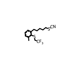 Cc1cc[c]c(CCCCCSC#N)c1SCC(F)(F)F